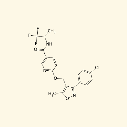 Cc1onc(-c2ccc(Cl)cc2)c1COc1ccc(C(=O)N[C@@H](C)C(F)(F)F)cn1